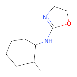 CC1CCCCC1NC1=NCCO1